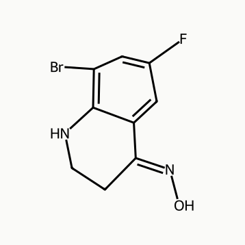 O/N=C1\CCNc2c(Br)cc(F)cc21